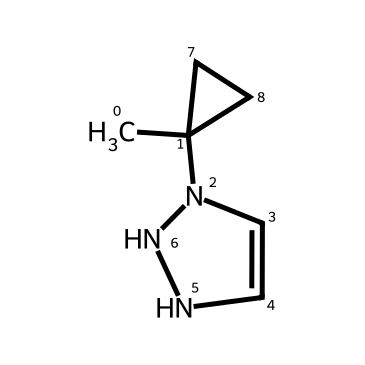 CC1(N2C=CNN2)CC1